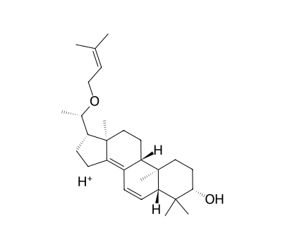 CC(C)=CCO[C@@H](C)[C@H]1CCC2=C3C=C[C@H]4C(C)(C)[C@@H](O)CC[C@]4(C)[C@H]3CC[C@@]21C.[H+]